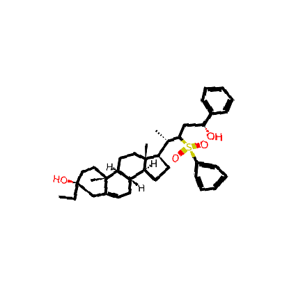 CC[C@]1(O)CC[C@@]2(C)C(=CC[C@H]3[C@@H]4CC[C@H]([C@H](C)C(C[C@@H](O)c5ccccc5)S(=O)(=O)c5ccccc5)[C@@]4(C)CC[C@@H]32)C1